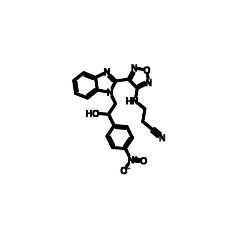 N#CCCNc1nonc1-c1nc2ccccc2n1CC(O)c1ccc([N+](=O)[O-])cc1